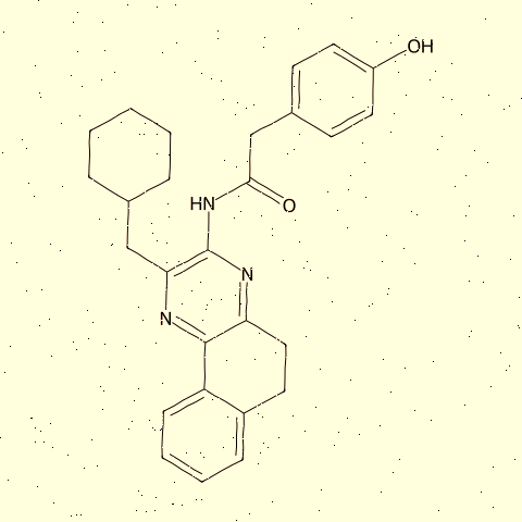 O=C(Cc1ccc(O)cc1)Nc1nc2c(nc1CC1CCCCC1)-c1ccccc1CC2